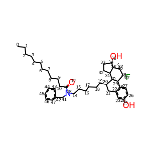 CCCCCCCCCCCC(=O)N(CCCCCC[C@@H]1Cc2cc(O)ccc2C2C1C1CC[C@H](O)[C@@]1(C)C[C@@H]2F)Cc1ccccc1